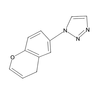 C1=COc2ccc(-n3ccnn3)cc2C1